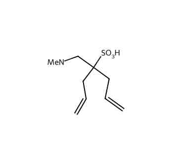 C=CCC(CC=C)(CNC)S(=O)(=O)O